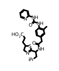 Cc1cc(CC(=O)NC(CC(C)C)C2=NCC(CCC(=O)O)S2)ccc1NC(=O)Nc1ccccn1